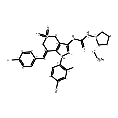 COC[C@H]1CCCN1NC(=O)Oc1nn(-c2ccc(Cl)cc2Cl)c2c1CS(=O)(=O)C/C2=C\c1ccc(F)cc1